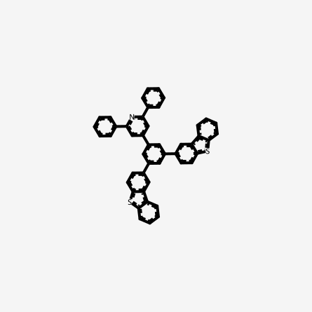 c1ccc(-c2cc(-c3cc(-c4ccc5sc6ccccc6c5c4)cc(-c4ccc5sc6ccccc6c5c4)c3)cc(-c3ccccc3)n2)cc1